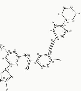 CC1=CN(c2cc(NC(=O)c3ccc(C)c(C#Cc4cnc(N5CCCCC5)nc4)c3)cc(C(F)(F)F)c2)CN1